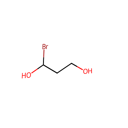 OCCC(O)Br